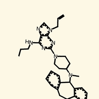 C=CCn1cnc2c(NCCC)nc(N3CCC(N(C)C4c5ccccc5CCc5ccccc54)CC3)nc21